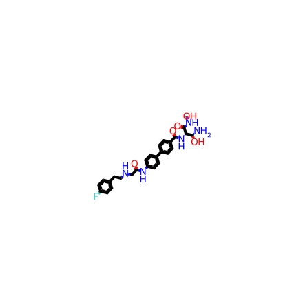 N[C@@H](O)[C@H](NC(=O)c1ccc(-c2ccc(NC(=O)CNCCc3ccc(F)cc3)cc2)cc1)C(=O)NO